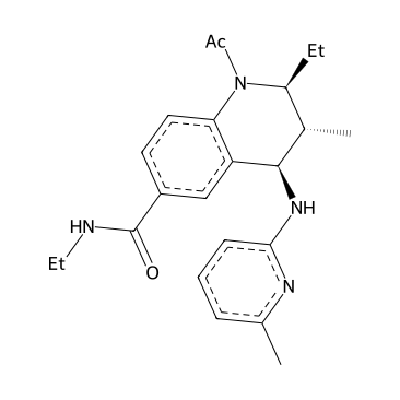 CCNC(=O)c1ccc2c(c1)[C@H](Nc1cccc(C)n1)[C@@H](C)[C@H](CC)N2C(C)=O